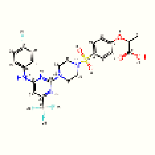 CC(Oc1ccc(S(=O)(=O)N2CCN(c3nc(Nc4ccc(F)cc4)cc(C(F)(F)F)n3)CC2)cc1)C(=O)O